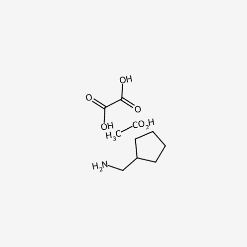 CC(=O)O.NCC1CCCC1.O=C(O)C(=O)O